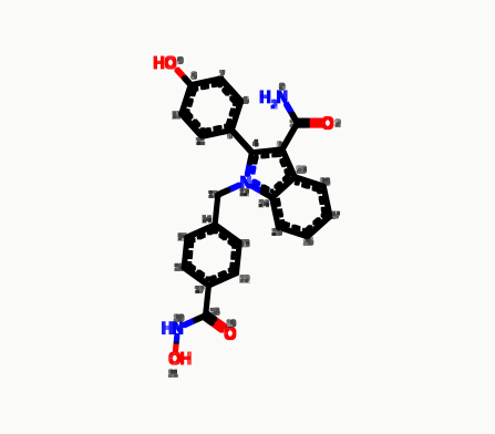 NC(=O)c1c(-c2ccc(O)cc2)n(Cc2ccc(C(=O)NO)cc2)c2ccccc12